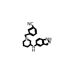 N#Cc1cccc(CN2CCCC(Nc3ccc4[nH]ncc4c3)C2)c1